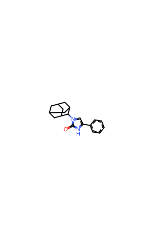 O=c1[nH]c(-c2ccccc2)cn1C1C2CC3CC(C2)CC1C3